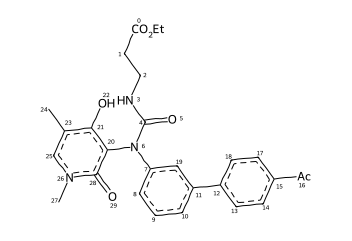 CCOC(=O)CCNC(=O)N(c1cccc(-c2ccc(C(C)=O)cc2)c1)c1c(O)c(C)cn(C)c1=O